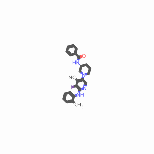 Cc1ccccc1Nc1ncc(N2CCC[C@@H](NC(=O)c3ccccc3)C2)c(C#N)c1I